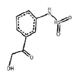 O=C(CO)c1cccc(N[SH](=O)=O)c1